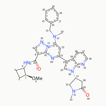 CO[C@H]1CCC1NC(=O)c1cnn2c(N(C)Cc3ccccc3)cc(-c3cn([C@@H]4CC(=O)N(C)C4)c4ncccc34)nc12